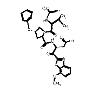 COc1cccc2nc(C(=O)[C@H](CC(=O)O)NC(=O)C3C[C@H](Oc4ccccc4)CN3C(=O)C(NC(C)=O)C(C)C)oc12